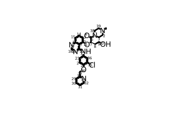 CN1CCN(C(=O)[C@@H](CCO)Oc2cccc3ncnc(Nc4ccc(OCc5ccccn5)c(Cl)c4)c23)CC1